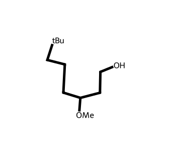 COC(CCO)CCCC(C)(C)C